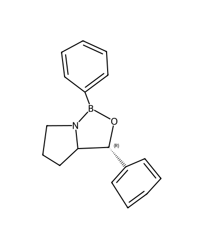 c1ccc(B2O[C@H](c3ccccc3)C3CCCN23)cc1